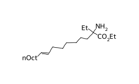 CCCCCCCCC=CCCCCCCC(N)(CC)C(=O)OCC